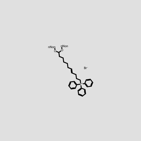 CCCCCCCCCOC(CCCCC/C=C/CCC[P+](c1ccccc1)(c1ccccc1)c1ccccc1)OCCCCCCCCC.[Br-]